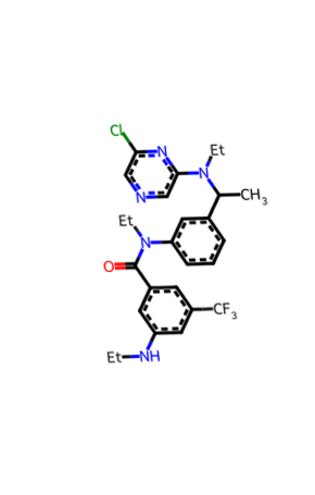 CCNc1cc(C(=O)N(CC)c2cccc(C(C)N(CC)c3cncc(Cl)n3)c2)cc(C(F)(F)F)c1